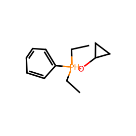 CC[PH](CC)(OC1CC1)c1ccccc1